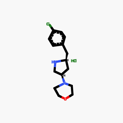 Cl.Clc1ccc(C[C@H]2C[C@@H](N3CCOCC3)CN2)cc1